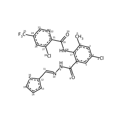 Cc1cc(Cl)cc(C(=O)NN=Cc2cccs2)c1NC(=O)c1ncc(C(F)(F)F)cc1Cl